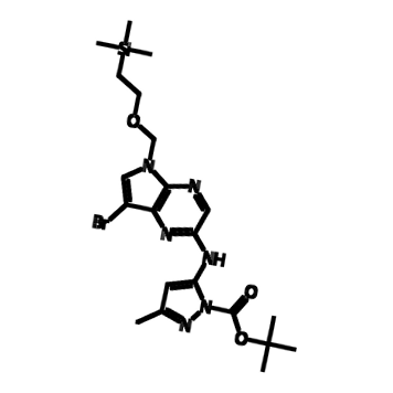 Cc1cc(Nc2cnc3c(n2)c(Br)cn3COCC[Si](C)(C)C)n(C(=O)OC(C)(C)C)n1